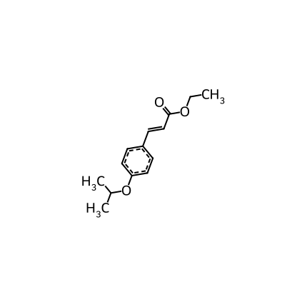 CCOC(=O)C=Cc1ccc(OC(C)C)cc1